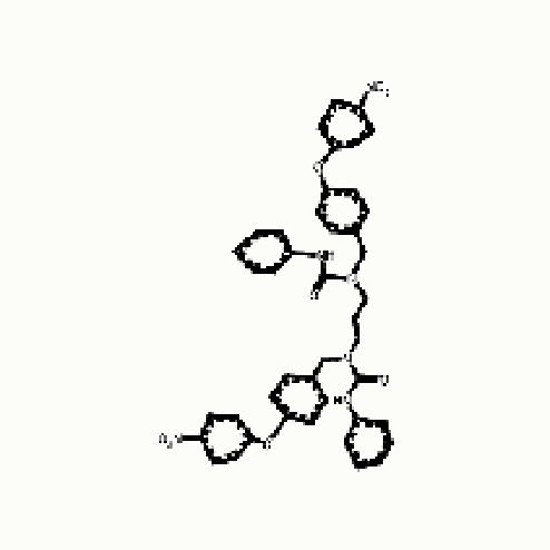 O=C(Nc1ccccc1)N(CCCN(Cc1ccc(Oc2ccc([N+](=O)[O-])cc2)cc1)C(=O)Nc1ccccc1)Cc1ccc(Oc2ccc([N+](=O)[O-])cc2)cc1